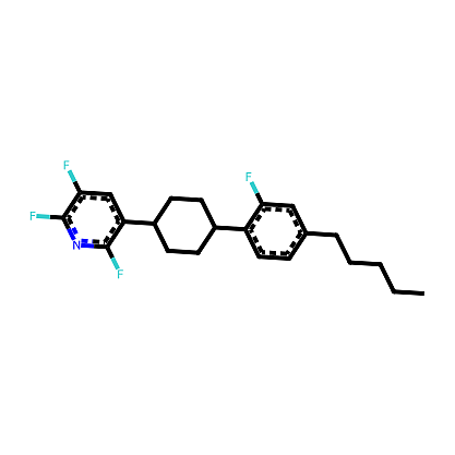 CCCCCc1ccc(C2CCC(c3cc(F)c(F)nc3F)CC2)c(F)c1